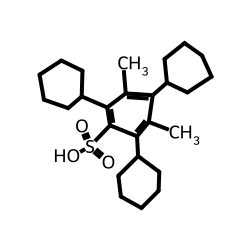 Cc1c(C2CCCCC2)c(C)c(C2CCCCC2)c(S(=O)(=O)O)c1C1CCCCC1